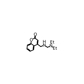 CCN(CC)CNCc1cc(=O)oc2ccccc12